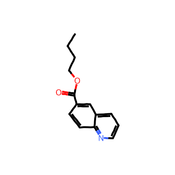 CCCCOC(=O)c1ccc2ncccc2c1